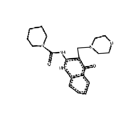 O=C(Nc1[nH]c2ccccc2c(=O)c1CN1CCOCC1)N1CCCCC1